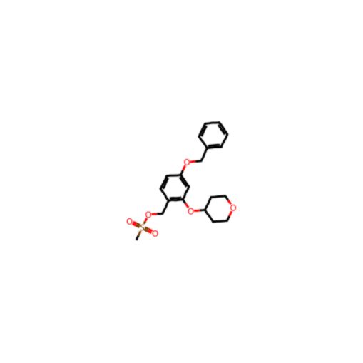 CS(=O)(=O)OCc1ccc(OCc2ccccc2)cc1OC1CCOCC1